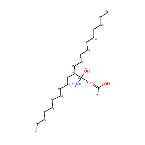 CC(=O)O.CCCCCCCCCCC(CCCCCCCCCC)C(C)(N)O